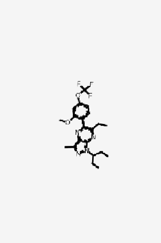 CCc1nc2c(nc1-c1ccc(OC(F)(F)F)cc1OC)c(C)nn2C(CC)CC